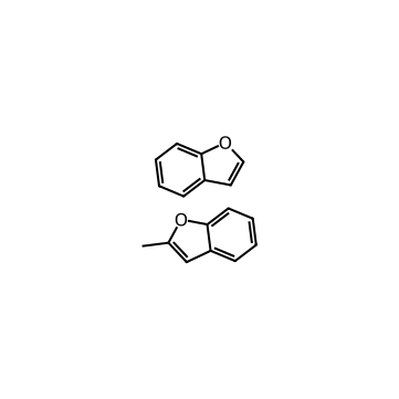 Cc1cc2ccccc2o1.c1ccc2occc2c1